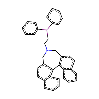 c1ccc(P(CCN2Cc3ccc4ccccc4c3-c3c(ccc4ccccc34)C2)c2ccccc2)cc1